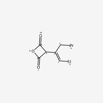 CCC=C(CC(C)C)C1C(=O)OC1=O